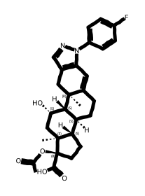 CC(=O)O[C@]1(C(=O)O)CC[C@H]2[C@@H]3CCC4=Cc5c(cnn5-c5ccc(F)cc5)C[C@]4(C)[C@H]3[C@@H](O)C[C@@]21C